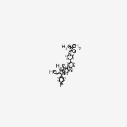 CCc1nc2ccc(C3CCN(CC(=O)N(C)C)CC3)cn2c1N(C)c1nc(-c2ccc(F)cc2)c(CO)s1